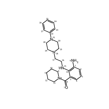 Nc1cccc(C(=O)N2CCCCC2)c1NCCN1CCN(c2ccccc2)CC1